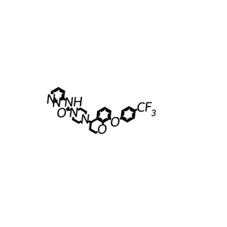 O=C(Nc1cccnn1)N1CCN(C2CCOc3c(Oc4ccc(C(F)(F)F)cc4)cccc32)CC1